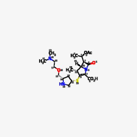 CC(=O)O[C@H](C)[C@H]1C(=O)N2C(C(=O)O)=C(S[C@@H]3CN[C@H](COCCN(C)C)C3)[C@H](C)[C@H]12